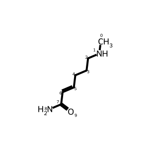 CNCCCC=CC(N)=O